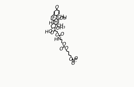 C[C@]12C=CC(=O)C=C1CC[C@H]1[C@@H]3C[C@@H](O)[C@](O)(C(=O)COC(=O)NCCOC(=O)OCCCCO[N+](=O)[O-])[C@@]3(C)C[C@H](O)[C@@]12F